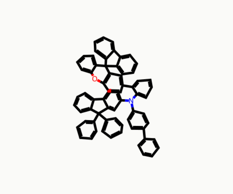 c1ccc(-c2ccc(N(c3ccc4c(c3)C(c3ccccc3)(c3ccccc3)c3ccccc3-4)c3ccccc3-c3ccc4c(c3)C3(c5ccccc5O4)c4ccccc4-c4ccccc43)cc2)cc1